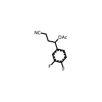 CC(=O)OC(CCC#N)c1ccc(F)c(F)c1